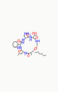 CCCCCC[C@H]1OC[C@@H](C)NC(=O)[C@H]([C@H](C)O)NC(=O)[C@H](CN)NC(=O)[C@H](C2CCCCC2)NC(=O)[C@H](CCC)N(C)C(=O)[C@@H]1C